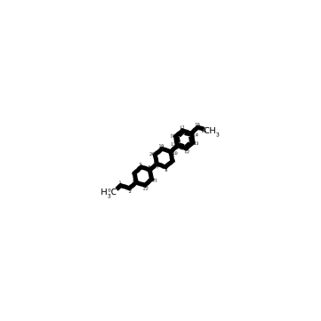 CCCC1CCC(C2CCC(c3ccc(CC)cc3)CC2)CC1